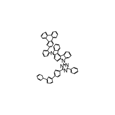 C1=CCC(c2cccc(-c3ccc(-c4nc(-c5ccccc5)nc(-n5c6ccccc6c6c7c8ccccc8n(-c8ccccc8-c8ccc9c%10ccccc%10c%10ccccc%10c9c8)c7ccc65)n4)cc3)c2)C=C1